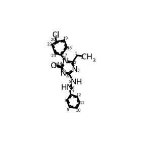 CCc1nc(NNc2ccccc2)nc(=O)n1-c1ccc(Cl)cc1